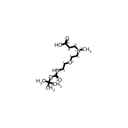 CN(CCOCCNC(=O)OC(C)(C)C)CCC(=O)O